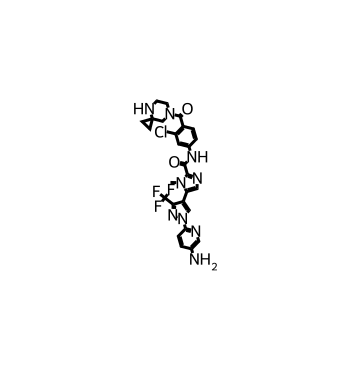 Cn1c(-c2cn(-c3ccc(N)cn3)nc2C(F)(F)F)cnc1C(=O)Nc1ccc(C(=O)N2CCNC3(CC3)C2)c(Cl)c1